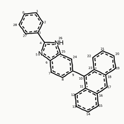 c1ccc(-c2nc3ccc(-c4c5ccccc5cc5ccccc45)cc3[nH]2)cc1